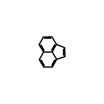 [c]1cc2c3c(cccc3c1)C=C2